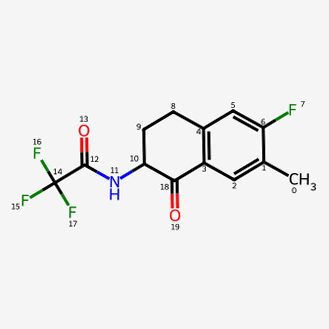 Cc1cc2c(cc1F)CCC(NC(=O)C(F)(F)F)C2=O